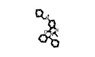 Cc1nc2ccc(N(C)Cc3ccccc3)cc2c(=O)n1C(c1ccccc1)c1ccccc1